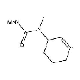 CNC(=O)N(C)C1C=[C]CCC1